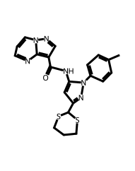 Cc1ccc(-n2nc(C3SCCCS3)cc2NC(=O)c2cnn3cccnc23)cc1